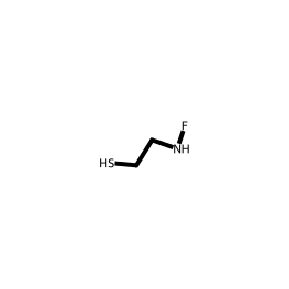 FNCCS